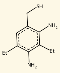 CCc1cc(CS)c(N)c(CC)c1N